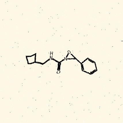 O=C(NCC1CCC1)N1OC1c1ccccc1